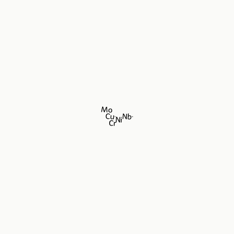 [Cr].[Cu].[Mo].[Nb].[Ni]